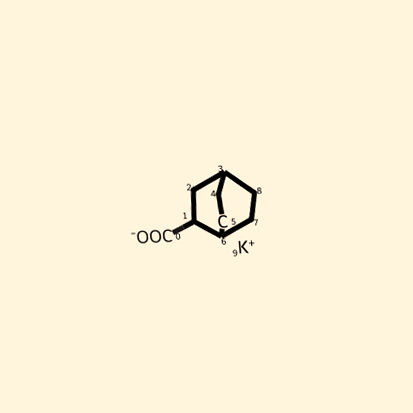 O=C([O-])C1CC2CCC1CC2.[K+]